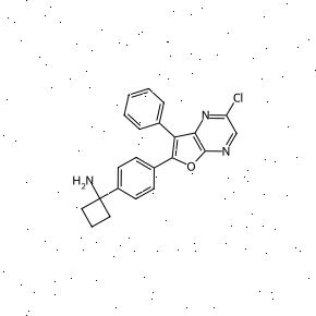 NC1(c2ccc(-c3oc4ncc(Cl)nc4c3-c3ccccc3)cc2)CCC1